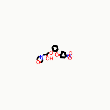 O=[N+]([O-])c1ccc(Oc2ccccc2OCC(O)CN2CCOCC2)cc1